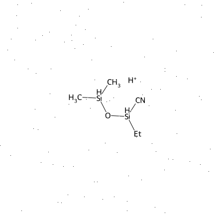 CC[SiH](C#N)O[SiH](C)C.[H+]